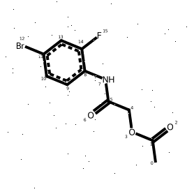 CC(=O)OCC(=O)Nc1ccc(Br)cc1F